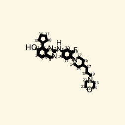 Oc1ccc2cnc(Nc3ccc(N4CCC(CCCN5CCOCC5)CC4)c(F)c3)nc2c1C1CCCC1